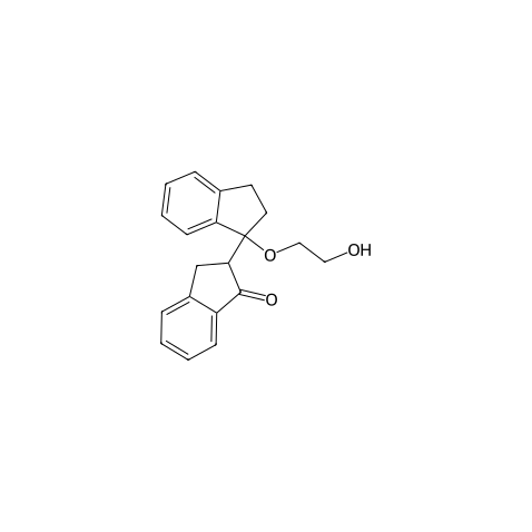 O=C1c2ccccc2CC1C1(OCCO)CCc2ccccc21